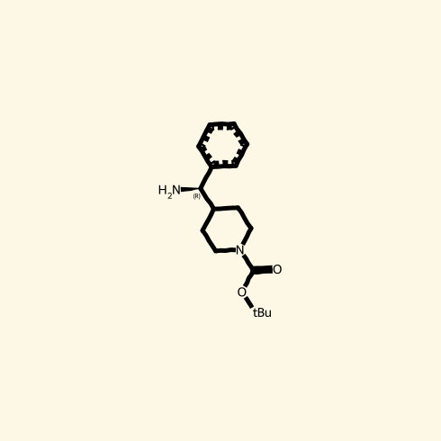 CC(C)(C)OC(=O)N1CCC([C@@H](N)c2ccccc2)CC1